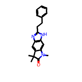 CN1C(=O)C(C)(C)c2cc3nc(CCc4ccccc4)[nH]c3cc21